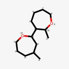 CC1[CH]C(C2CCCCOC2C)OCCC1